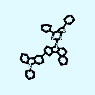 c1ccc(-c2cc3c(-c4ccccc4)nc(-n4c5ccc(-c6ccc7c(c6)c6ccccc6n7-c6ccccc6)cc5c5c6ccccc6ccc54)nc3s2)cc1